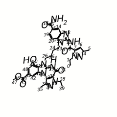 CCn1nc(C)cc1C(=O)Nc1nc2cc(C(N)=O)ccc2n1CCCCn1c(NC(=O)c2cc(C)nn2CC)nc2cc(C(=O)OC)cc(O)c21